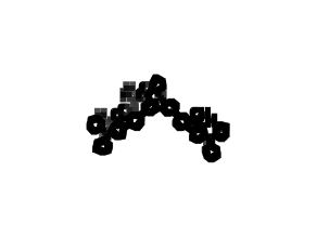 CC1(C)C2=C(CCC=C2)N2c3c(cc(-c4ccc5c(c4)C(C)(C)c4cc(N(C6=CC=CCC6)c6ccccc6)ccc4-5)cc31)C1C=C(c3ccc4c(c3)C(C)(C)c3cc(N(c5ccccc5)C5C=CC=CC5)ccc3-4)C=CC12